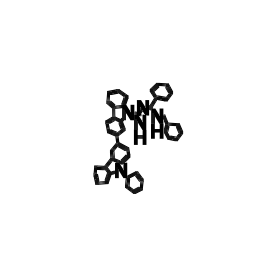 N=C(/N=C(\NCc1ccccc1)c1ccccc1)n1c2ccccc2c2ccc(-c3ccc4c(c3)c3ccccc3n4-c3ccccc3)cc21